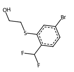 OCCSc1cc(Br)ccc1C(F)F